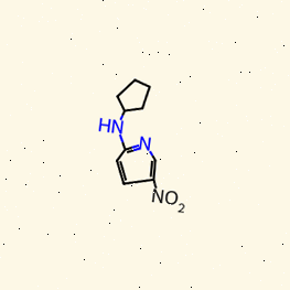 O=[N+]([O-])c1ccc(NC2CCCC2)nc1